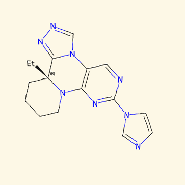 CC[C@]12CCCCN1c1nc(-n3ccnc3)ncc1-n1cnnc12